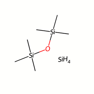 C[Si](C)(C)O[Si](C)(C)C.[SiH4]